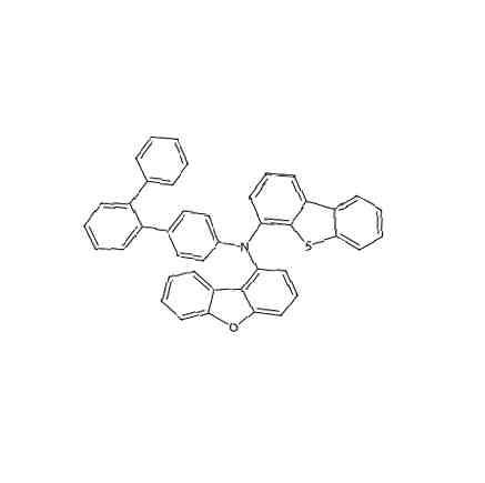 c1ccc(-c2ccccc2-c2ccc(N(c3cccc4c3sc3ccccc34)c3cccc4oc5ccccc5c34)cc2)cc1